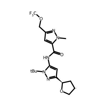 Cn1nc(COC(F)(F)F)cc1C(=O)Nc1cc([C@H]2C[CH]CO2)nn1C(C)(C)C